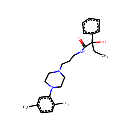 CCC(O)(C(=O)NCCCN1CCN(c2cc(C)ccc2C)CC1)c1ccccc1